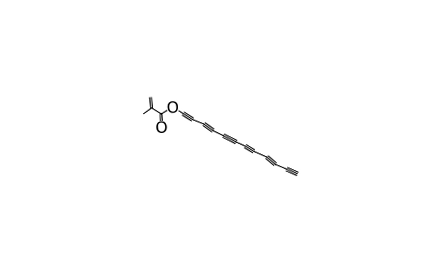 C#CC#CC#CC#CC#CC#COC(=O)C(=C)C